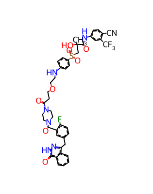 CC(O)(CS(=O)(=O)c1ccc(NCCOCCC(=O)N2CCN(C(=O)c3cc(Cc4n[nH]c(=O)c5ccccc45)ccc3F)CC2)cc1)C(=O)Nc1ccc(C#N)c(C(F)(F)F)c1